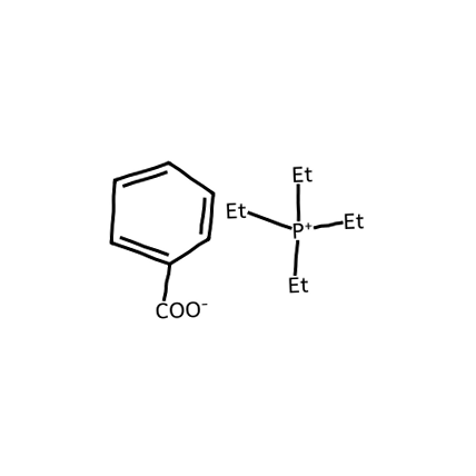 CC[P+](CC)(CC)CC.O=C([O-])c1ccccc1